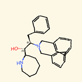 O[C@@H](C1CCCCCN1)[C@@H](Cc1ccccc1)N(Cc1ccccc1)Cc1ccccc1